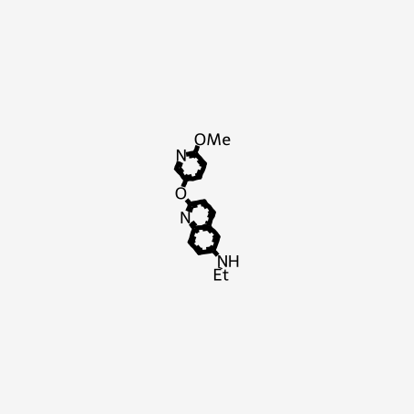 CCNc1ccc2nc(Oc3ccc(OC)nc3)ccc2c1